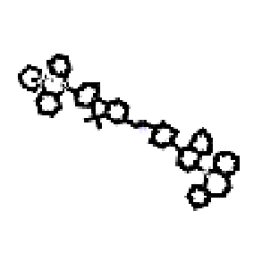 CC1(C)c2cc(/C=C/c3ccc(-c4ccc(N5c6ccccc6C=Cc6ccccc65)c5ccccc45)cc3)ccc2-c2ccc(N3c4ccccc4[SH]4(C)(CCCCC4)c4ccccc43)cc21